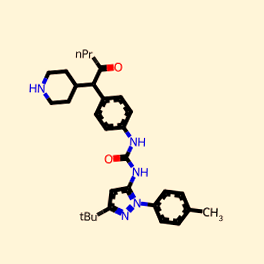 CCCC(=O)C(c1ccc(NC(=O)Nc2cc(C(C)(C)C)nn2-c2ccc(C)cc2)cc1)C1CCNCC1